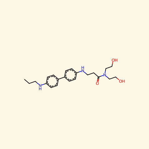 CCCNc1ccc(-c2ccc(NCCC(=O)N(CCO)CCO)cc2)cc1